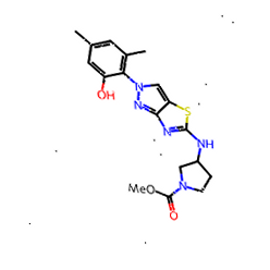 COC(=O)N1CCC(Nc2nc3nn(-c4c(C)cc(C)cc4O)cc3s2)C1